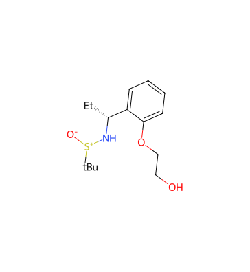 CC[C@@H](N[S+]([O-])C(C)(C)C)c1ccccc1OCCO